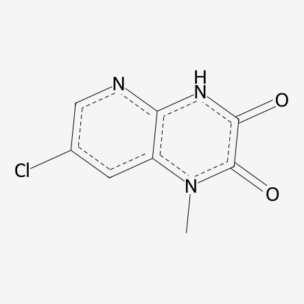 Cn1c(=O)c(=O)[nH]c2ncc(Cl)cc21